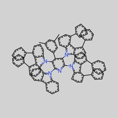 Cc1cc(C)cc(-c2c(-n3c4cccc(-c5ccccc5)c4c4c(-c5ccccc5)cccc43)c(-n3c4ccccc4c4ccccc43)nc(-n3c4cccc(-c5ccccc5)c4c4c(-c5ccccc5)cccc43)c2-n2c3cccc(-c4ccccc4)c3c3c(-c4ccccc4)cccc32)c1